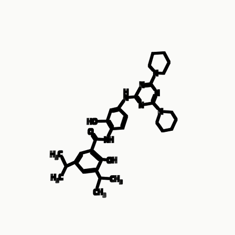 CC(C)c1cc(C(=O)Nc2ccc(Nc3nc(N4CCCCC4)nc(N4CCCCC4)n3)cc2O)c(O)c(C(C)C)c1